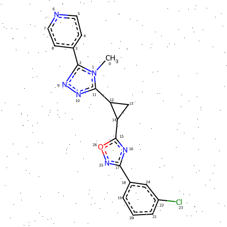 Cn1c(-c2ccncc2)nnc1C1CC1c1nc(-c2cccc(Cl)c2)no1